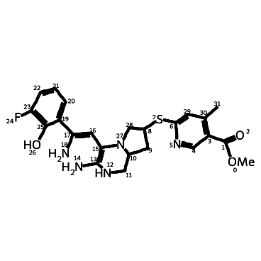 COC(=O)c1cnc(SC2CC3CNC(N)=C(/C=C(\N)c4cccc(F)c4O)N3C2)cc1C